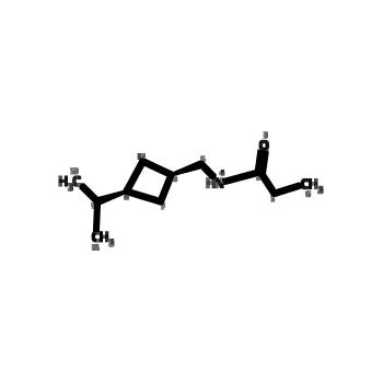 CCC(=O)NC[C@H]1C[C@@H](C(C)C)C1